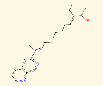 CC/C(=C\CCCCC/C=C(\C)c1cc2cccnc2cn1)C(O)OC